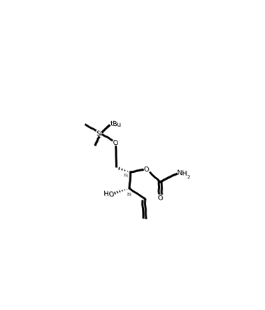 C=C[C@H](O)[C@H](CO[Si](C)(C)C(C)(C)C)OC(N)=O